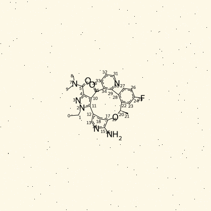 CCn1nc(C(=O)N(C)C)c2c1-c1cnc(N)c(c1)O[C@H](C)c1cc(F)ccc1-c1ncccc1C2=O